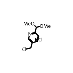 COC(OC)c1ccc(CCl)cn1.Cl